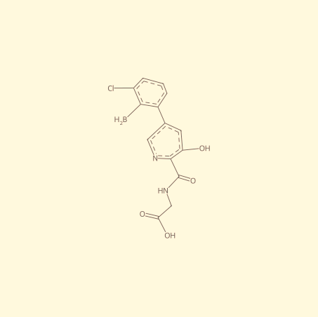 Bc1c(Cl)cccc1-c1cnc(C(=O)NCC(=O)O)c(O)c1